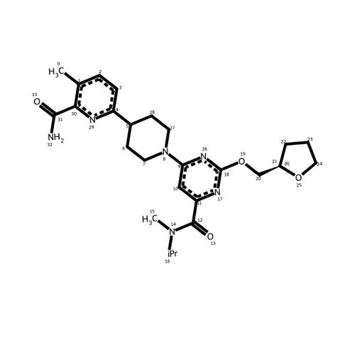 Cc1ccc(C2CCN(c3cc(C(=O)N(C)C(C)C)nc(OC[C@H]4CCCO4)n3)CC2)nc1C(N)=O